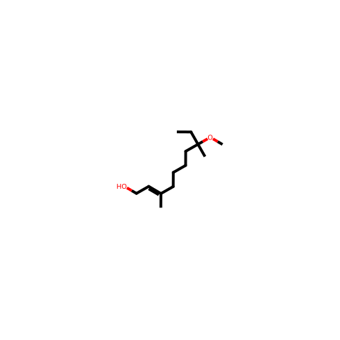 CCC(C)(CCCCC(C)=CCO)OC